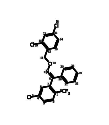 FC(F)(F)c1ccc(Cl)cc1/C(=N/OCc1ccc(Cl)cc1Cl)c1ccccc1